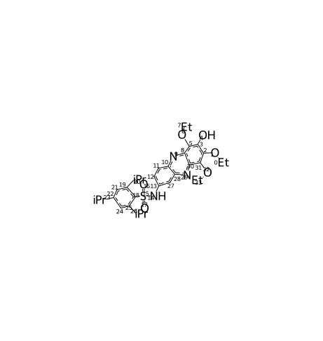 CCOc1c(O)c(OCC)c2nc3ccc(NS(=O)(=O)c4c(C(C)C)cc(C(C)C)cc4C(C)C)cc3nc2c1OCC